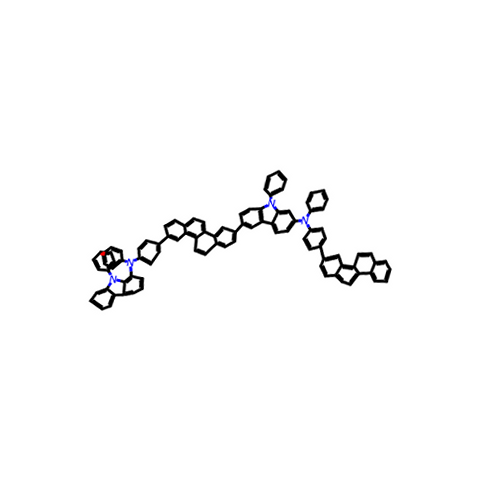 c1ccc(N(c2ccc(-c3ccc4ccc5c6ccccc6ccc5c4c3)cc2)c2ccc3c4cc(-c5ccc6ccc7c8cc(-c9ccc(N(c%10ccccc%10)c%10cccc%11c%12ccccc%12n(-c%12ccccc%12)c%10%11)cc9)ccc8ccc7c6c5)ccc4n(-c4ccccc4)c3c2)cc1